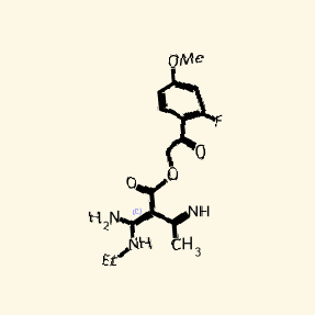 CCN/C(N)=C(\C(C)=N)C(=O)OCC(=O)c1ccc(OC)cc1F